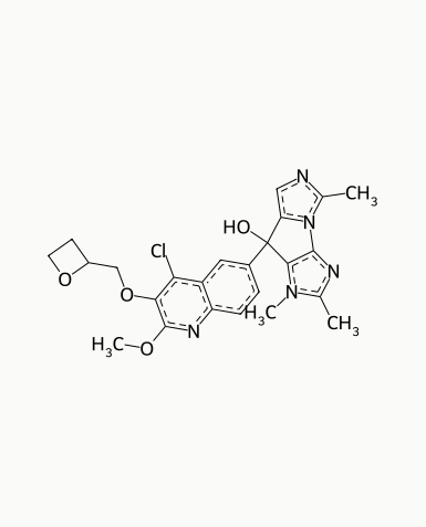 COc1nc2ccc(C3(O)c4c(nc(C)n4C)-n4c3cnc4C)cc2c(Cl)c1OCC1CCO1